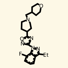 CCc1nn(-c2noc(C3CCN(CC4CCOCC4)CC3)n2)c2c(F)cccc12